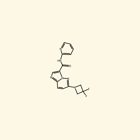 O=C(Nc1ccccn1)c1cnc2ccc(N3CC(F)(F)C3)nn12